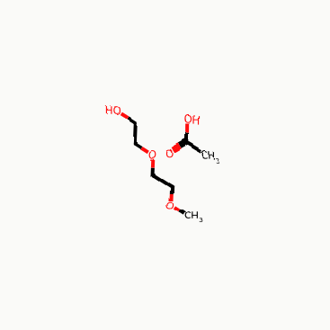 CC(=O)O.COCCOCCO